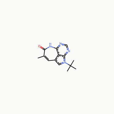 CC1=Cc2cn(C(C)(C)C)c3ncnc(c23)NC1=O